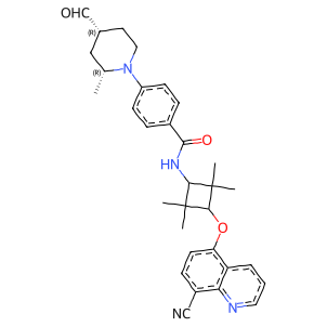 C[C@@H]1C[C@H](C=O)CCN1c1ccc(C(=O)NC2C(C)(C)C(Oc3ccc(C#N)c4ncccc34)C2(C)C)cc1